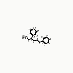 CC(C)CC(CCCc1ccccc1)c1ccncc1